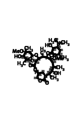 CO[C@]1(C)C[C@H](O[C@H]2[C@H](C)[C@@H](O[C@@H]3O[C@H](C)C[C@H](N(C)C)[C@H]3O)[C@@](C)(OC)CC(C)[C@H](O)[C@H](C)N3C[C@H](COC3=O)OC(=O)[C@@H]2C)O[C@@H](C)[C@@H]1O